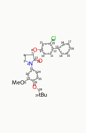 COc1cc(N2CCC(Oc3ccc(-c4ccccc4)c(Cl)c3)C2=O)ccc1OCC(C)(C)C